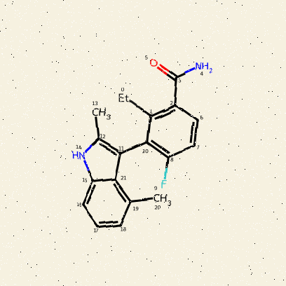 CCc1c(C(N)=O)ccc(F)c1-c1c(C)[nH]c2cccc(C)c12